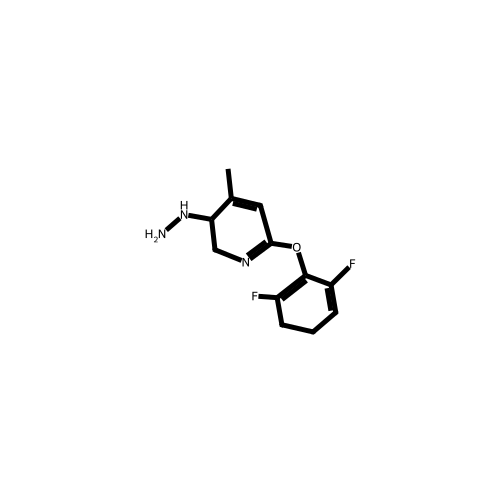 CC1=CC(OC2=C(F)CCC=C2F)=NCC1NN